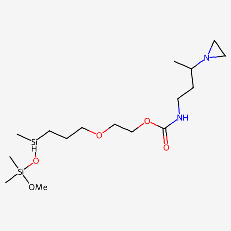 CO[Si](C)(C)O[SiH](C)CCCOCCOC(=O)NCCC(C)N1CC1